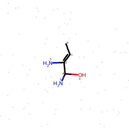 CC=C(N)C(N)O